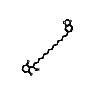 O=C1CCCC(=O)C1=C(O)CCCCCCCCCCCCCCc1ccc2c(c1)OCO2